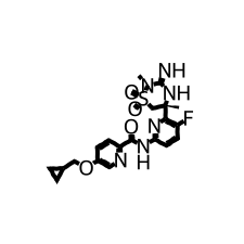 CN1C(=N)N[C@](C)(c2nc(NC(=O)c3ccc(OCC4CC4)cn3)ccc2F)CS1(=O)=O